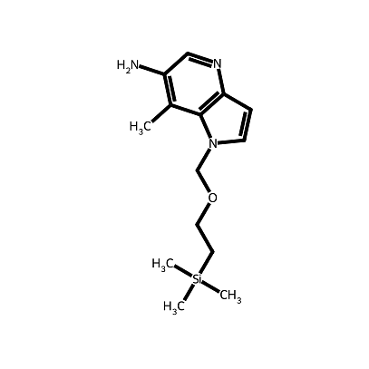 Cc1c(N)cnc2ccn(COCC[Si](C)(C)C)c12